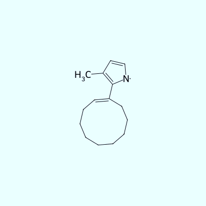 CC1=C(/C2=C/CCCCCCCC2)[N]C=C1